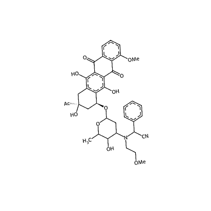 COCCN(C(C#N)c1ccccc1)C1CC(O[C@H]2C[C@](O)(C(C)=O)Cc3c(O)c4c(c(O)c32)C(=O)c2c(OC)cccc2C4=O)OC(C)C1O